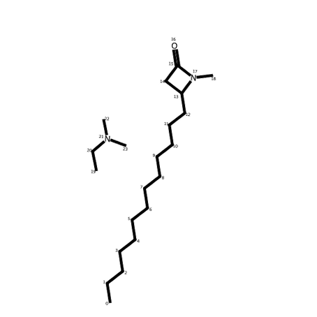 CCCCCCCCCCCCCC1CC(=O)N1C.CCN(C)C